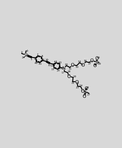 C[Si](C)(C)C#Cc1ccc(C#Cc2ccc(N(CCOCCOCCOS(C)(=O)=O)CCOCCOCCOS(C)(=O)=O)cc2)cc1